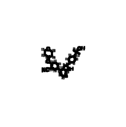 CC(C)(O)c1ccc(-c2cc3c(-c4ccc(ON5CCOCC5)c(C#N)c4)ncnc3[nH]2)cc1